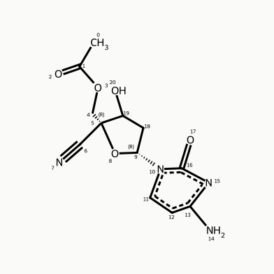 CC(=O)OC[C@@]1(C#N)O[C@@H](n2ccc(N)nc2=O)CC1O